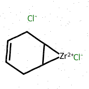 C1=CC[CH]2[Zr+2][CH]2C1.[Cl-].[Cl-]